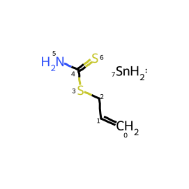 C=CCSC(N)=S.[SnH2]